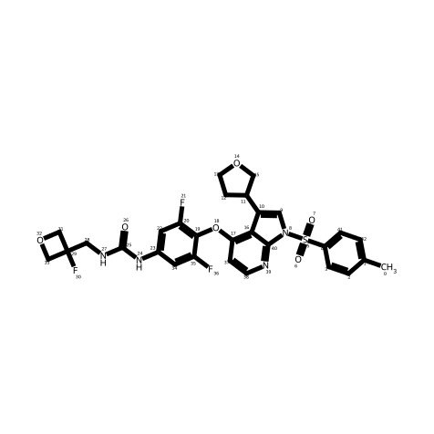 Cc1ccc(S(=O)(=O)n2cc(C3CCOC3)c3c(Oc4c(F)cc(NC(=O)NCC5(F)COC5)cc4F)ccnc32)cc1